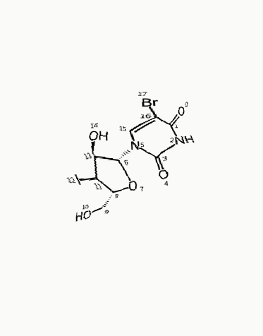 O=c1[nH]c(=O)n([C@@H]2O[C@H](CO)C(I)[C@H]2O)cc1Br